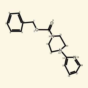 O=C(OCc1ccccc1)N1CCN(c2ccccn2)CC1